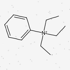 [CH2]C[N+](CC)(CC)c1ccccc1